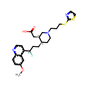 COc1ccc2nccc([C@H](F)CC[C@@H]3CCN(CCCSc4nccs4)C[C@@H]3CC(=O)O)c2c1